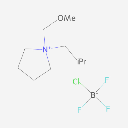 COC[N+]1(CC(C)C)CCCC1.F[B-](F)(F)Cl